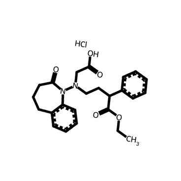 CCOC(=O)C(CCN(CC(=O)O)N1C(=O)CCCc2ccccc21)c1ccccc1.Cl